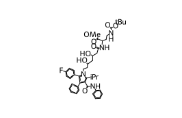 COC(=O)C(CCNC(=O)OC(C)(C)C)NC(=O)C[C@H](O)C[C@H](O)CCn1c(-c2ccc(F)cc2)c(-c2ccccc2)c(C(=O)Nc2ccccc2)c1C(C)C